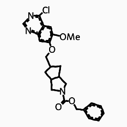 COc1cc2c(Cl)ncnc2cc1OCC1CC2CN(C(=O)OCc3ccccc3)CC2C1